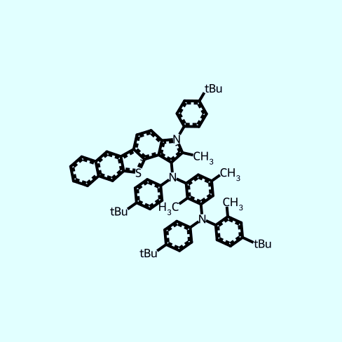 Cc1cc(N(c2ccc(C(C)(C)C)cc2)c2ccc(C(C)(C)C)cc2C)c(C)c(N(c2ccc(C(C)(C)C)cc2)c2c(C)n(-c3ccc(C(C)(C)C)cc3)c3ccc4c5cc6ccccc6cc5sc4c23)c1